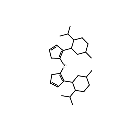 CC1CCC(C(C)C)C(C2=[C]([Zr][C]3=C(C4CC(C)CCC4C(C)C)C=CC3)CC=C2)C1